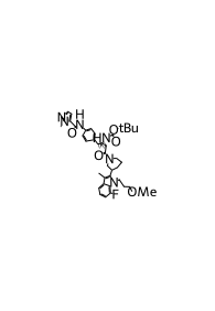 COCCCn1c(C2CCCN(C(=O)C[C@@H](Cc3ccc(NC(=O)c4ccnn4C)cc3)NC(=O)OC(C)(C)C)C2)c(C)c2cccc(F)c21